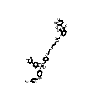 Cn1cc(-c2ccc(N(C(=O)NCc3ccc(OCCOCCCNC(=O)COc4cccc5c4C(=O)N(C4CCC(=O)NC4=O)C5=O)cc3)[C@H]3CC[C@H](Nc4ccc(C#N)cn4)CC3)cc2)ccc1=O